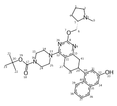 CN1CCC[C@H]1COc1nc2c(c(N3CCN(C(=O)OC(C)(C)C)CC3)n1)CCC(c1cc(O)cc3ccccc13)C2